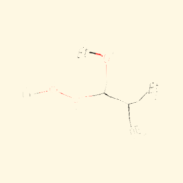 CCCCC(CC)C(OCC)OOCC